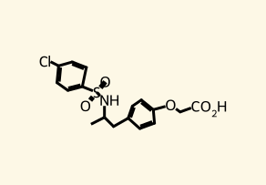 CC(Cc1ccc(OCC(=O)O)cc1)NS(=O)(=O)c1ccc(Cl)cc1